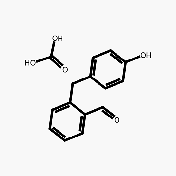 O=C(O)O.O=Cc1ccccc1Cc1ccc(O)cc1